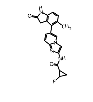 Cc1ccc2c(c1-c1ccc3nc(NC(=O)C4CC4F)cn3c1)CC(=O)N2